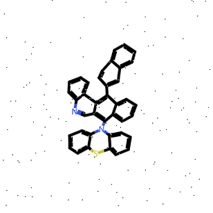 c1ccc2c(c1)Sc1ccccc1N2c1c2ccccc2c(-c2ccc3ccccc3c2)c2c1cnc1ccccc12